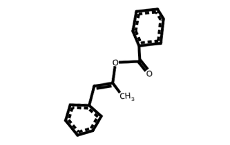 C/C(=C\c1ccccc1)OC(=O)c1ccccc1